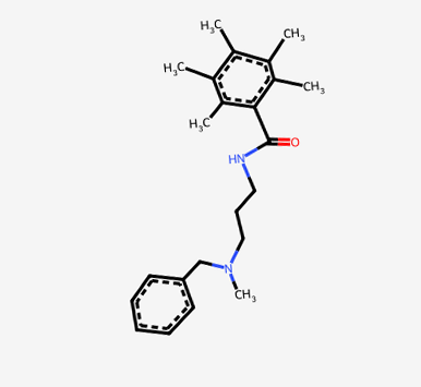 Cc1c(C)c(C)c(C(=O)NCCCN(C)Cc2ccccc2)c(C)c1C